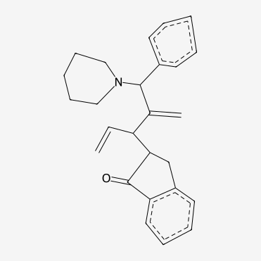 C=CC(C(=C)C(c1ccccc1)N1CCCCC1)C1Cc2ccccc2C1=O